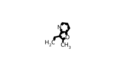 C=Cc1c(C)oc2cccnc12